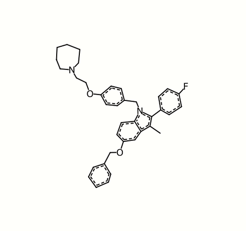 Cc1c(-c2ccc(F)cc2)n(Cc2ccc(OCCN3CCCCCC3)cc2)c2ccc(OCc3ccccc3)cc12